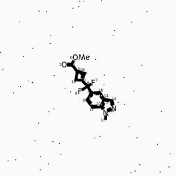 COC(=O)C12CC(C(F)(F)c3ccc4c(cnn4C)c3)(C1)C2